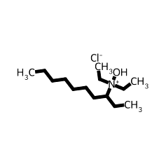 CCCCCCCC(CC)[N+](O)(CC)CC.[Cl-]